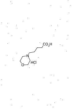 Cl.O=C(O)CCCCN1CCOCC1